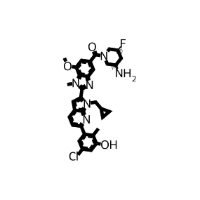 COc1cc(C(=O)N2C[C@H](N)C[C@@H](F)C2)cc2nc(-c3cc4ccc(-c5cc(Cl)cc(O)c5C)nc4n3CC3CC3)n(C)c12